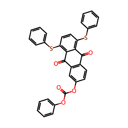 O=C(Oc1ccccc1)Oc1ccc2c(c1)C(=O)c1c(Sc3ccccc3)ccc(Sc3ccccc3)c1C2=O